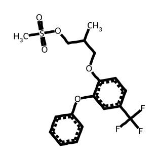 CC(COc1ccc(C(F)(F)F)cc1Oc1ccccc1)COS(C)(=O)=O